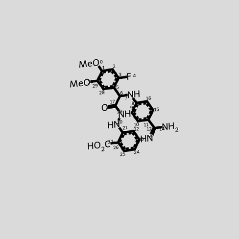 COc1cc(F)c(C(Nc2ccc(C(=N)N)cc2)C(=O)NNc2ccccc2C(=O)O)cc1OC